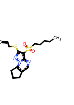 C=CCSc1nn2c3c(cnc2c1S(=O)(=O)CCCCC)CCC3